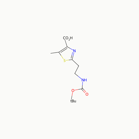 Cc1sc(CCNC(=O)OC(C)(C)C)nc1C(=O)O